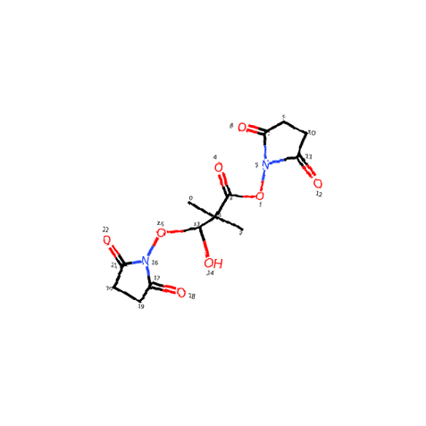 CC(C)(C(=O)ON1C(=O)CCC1=O)C(O)ON1C(=O)CCC1=O